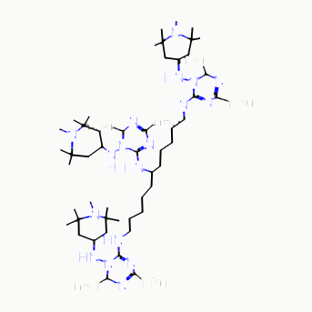 CCCCC1=NC(CCCC)N(NC2CC(C)(C)N(C)C(C)(C)C2)C(NCCCCCC(CCCCCNC2=NC(CCCC)=NC(CCCC)N2NC2CC(C)(C)N(C)C(C)(C)C2)NC2=NC(CCCC)=NC(CCCC)N2NC2CC(C)(C)N(C)C(C)(C)C2)=N1